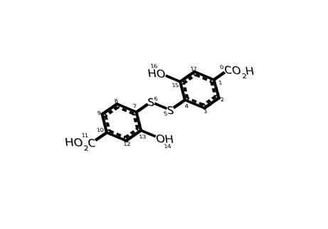 O=C(O)c1ccc(SSc2ccc(C(=O)O)cc2O)c(O)c1